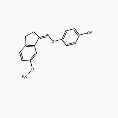 N#Cc1ccc(O/N=C2/CCc3ccc(OC(F)(F)F)cc32)cc1